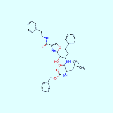 CC(C)CC(NC(=O)OCc1ccccc1)C(=O)NC(CCc1ccccc1)C(O)c1nc(C(=O)NCCc2ccccc2)co1